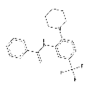 C=C(Nc1cc(C(F)(F)F)ccc1N1CCCCC1)c1ccccc1